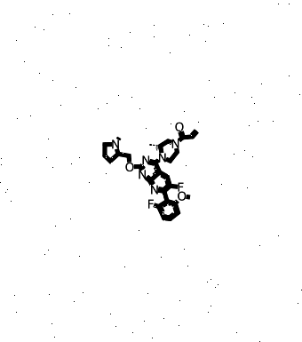 C=CC(=O)N1CCN(c2nc(OCC3CCCN3C)nc3nc(-c4c(F)cccc4OC)c(F)cc23)[C@H](C)C1